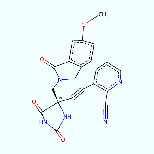 COc1ccc2c(c1)C(=O)N(C[C@@]1(C#Cc3cccnc3C#N)NC(=O)NC1=O)C2